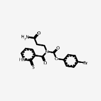 NC(=O)CCN(C(=O)Oc1ccc(Br)cc1)C(=O)c1ccc[nH]c1=S